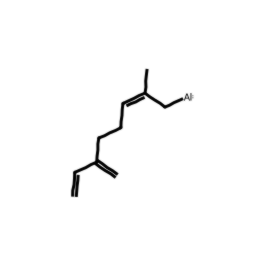 C=CC(=C)CCC=C(C)[CH2][Al]